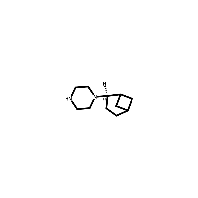 C1CN([C@@H]2CCC3CC2C3)CCN1